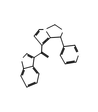 O=C(c1ccn2c1C(c1cccnc1)SC2)c1c[nH]c2ccccc12